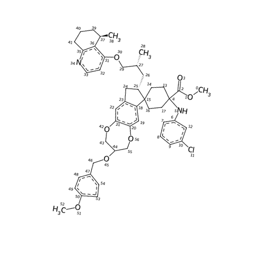 COC(=O)C1(Nc2cccc(Cl)c2)CCC2(CC1)c1cc3c(cc1C[C@@H]2C[C@@H](C)COc1ccnc2c1[C@H](C)CCC2)OCC(OCc1ccc(OC)cc1)CO3